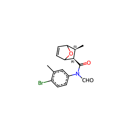 Cc1cc(N(C=O)C(=O)[C@H]2C3C=CC(O3)[C@H]2C)ccc1Br